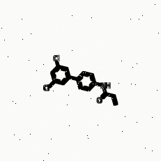 C=CC(=O)Nc1ccc(-c2cc(Cl)cc(Cl)c2)cc1